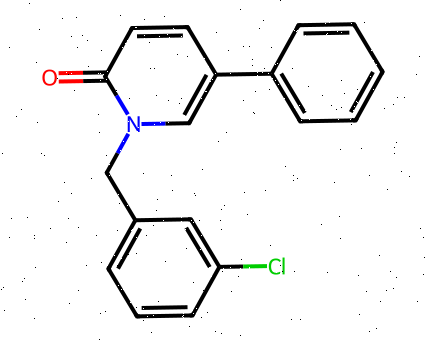 O=c1ccc(-c2ccccc2)cn1Cc1cccc(Cl)c1